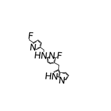 FCc1ccc(CNc2ccc(Cc3c[nH]c4ncccc34)c(F)n2)cn1